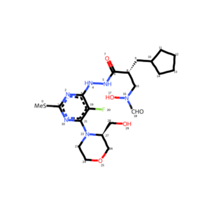 CSc1nc(NNC(=O)[C@H](CC2CCCC2)CN(O)C=O)c(F)c(N2CCOC[C@@H]2CO)n1